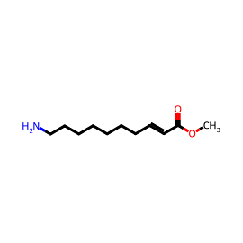 COC(=O)C=CCCCCCCCN